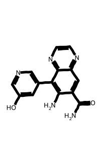 NC(=O)c1cc2nccnc2c(-c2cncc(O)c2)c1N